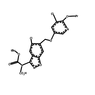 CC(C)Oc1ncc(OCc2cc3onc(N(C(=O)O)C(=O)OC(C)(C)C)c3cc2Cl)cc1Cl